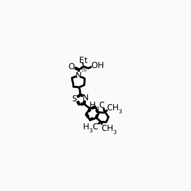 CC[C@@H](CO)C(=O)N1CCC(c2nc(-c3ccc4c(c3)C(C)(C)CCC4(C)C)cs2)CC1